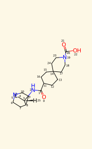 O=C(N[C@H]1CN2CCC1CC2)C1CCC2(CC1)CCN(C(=O)O)CC2